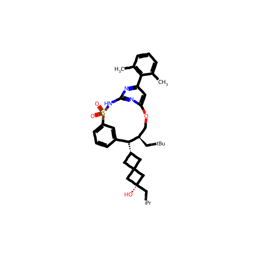 Cc1cccc(C)c1-c1cc2nc(n1)NS(=O)(=O)c1cccc(c1)C([C@H]1CC3(C1)C[C@](O)(CC(C)C)C3)[C@H](CC(C)(C)C)CO2